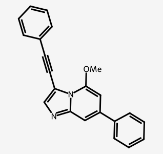 COc1cc(-c2ccccc2)cc2ncc(C#Cc3ccccc3)n12